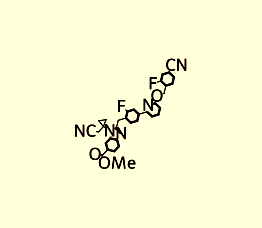 COC(=O)c1ccc2nc(Cc3ccc(-c4cccc(OCc5ccc(C#N)cc5F)n4)cc3F)n(C3(CC#N)CC3)c2c1